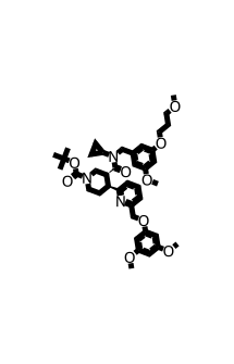 COCCCOc1cc(CN(C(=O)[C@H]2CN(C(=O)OC(C)(C)C)CC[C@@H]2c2cccc(COc3cc(OC)cc(OC)c3)n2)C2CC2)cc(OC)c1